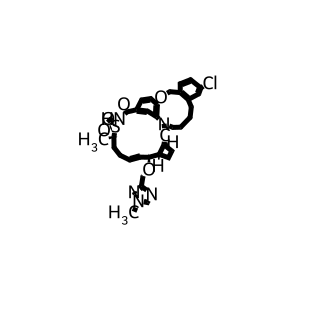 C[C@@H]1CC/C=C/[C@H](OCc2ncn(C)n2)[C@@H]2CC[C@H]2CN2CCCCc3cc(Cl)ccc3COc3ccc(cc32)C(=O)NS1(=O)=O